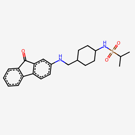 CC(C)S(=O)(=O)NC1CCC(CNc2ccc3c(c2)C(=O)c2ccccc2-3)CC1